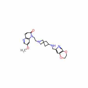 COc1cnc2ccc(=O)n(CCN3CC4(CC(NCc5cc6c(cn5)OCCO6)C4)C3)c2c1